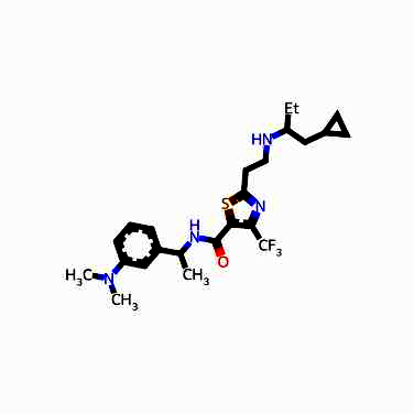 CCC(CC1CC1)NCCc1nc(C(F)(F)F)c(C(=O)NC(C)c2cccc(N(C)C)c2)s1